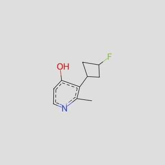 Cc1nccc(O)c1C1CC(F)C1